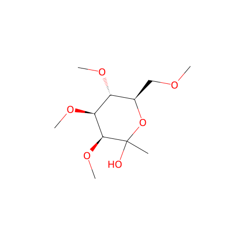 COC[C@H]1OC(C)(O)[C@@H](OC)[C@@H](OC)[C@@H]1OC